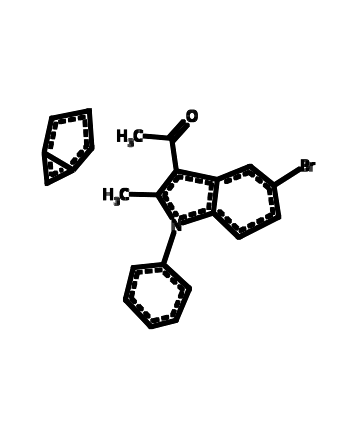 CC(=O)c1c(C)n(-c2ccccc2)c2ccc(Br)cc12.c1cc2cc-2c1